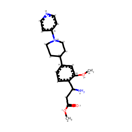 COC(=O)CC(N)c1ccc(C2CCN(c3ccncc3)CC2)cc1OC